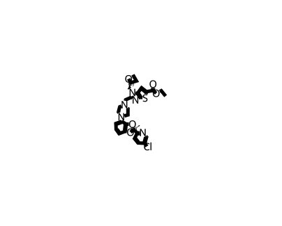 CCOC(=O)c1cc2c(nc(CN3CCN(c4cccc5c4O[C@@](C)(c4ccc(Cl)cn4)O5)CC3)n2C[C@@H]2CCO2)s1